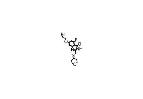 O=c1[nH]c(CSC2CCOCC2)nc2cc(OCCBr)cc(F)c12